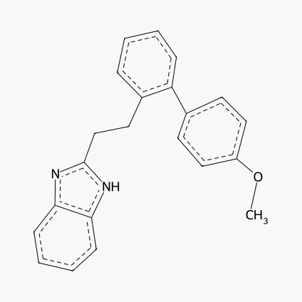 COc1ccc(-c2ccccc2CCc2nc3ccccc3[nH]2)cc1